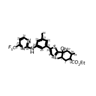 CCOC(=O)C1CC(C)C(O)(c2ncc(-c3cc(C)cc(Nc4nccc(C(F)(F)F)n4)c3)s2)CC1C